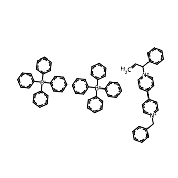 C=CC(c1ccccc1)[n+]1ccc(-c2cc[n+](Cc3ccccc3)cc2)cc1.c1ccc([B-](c2ccccc2)(c2ccccc2)c2ccccc2)cc1.c1ccc([B-](c2ccccc2)(c2ccccc2)c2ccccc2)cc1